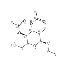 CCS[C@H]1OC(CO)[C@@H](OC(C)=O)[C@H](OC(C)=O)C1C